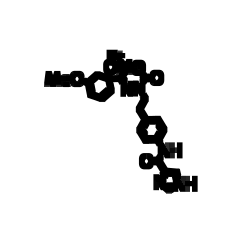 CCC1OC(=O)N(CCc2ccc(NC(=O)c3c[nH]cn3)cc2)N=C1C1(OC)C=CC=C(OC)C1